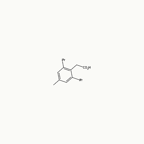 Cc1cc(C(C)C)c(CC(=O)O)c(C(C)C)c1